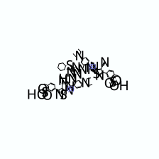 CCN(CC)c1ccc(/N=N/c2snc(-c3ccc(C)c(S(=O)(=O)O)c3)c2C#N)c(Nc2nc(Nc3cc(N(CC)CC)ccc3/N=N/c3snc(-c4ccc(C)c(S(=O)(=O)O)c4)c3C#N)nc(SC3CCCCC3)n2)c1